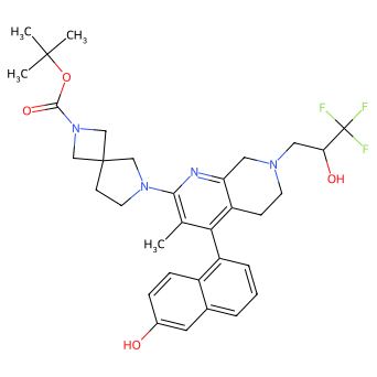 Cc1c(N2CCC3(CN(C(=O)OC(C)(C)C)C3)C2)nc2c(c1-c1cccc3cc(O)ccc13)CCN(CC(O)C(F)(F)F)C2